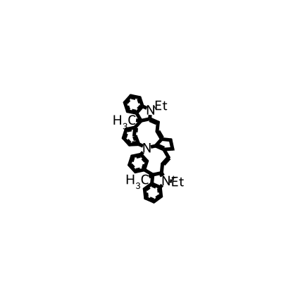 CCN1/C2=C/C=C3\CCC4=C3N(c3cccc(c3)C3(C)C(=[N+](CC)c5ccccc53)/C=C/4)c3cccc(c3)C2(C)c2ccccc21